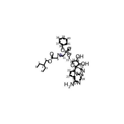 CCC(CC)COC(=O)C/N=C/[P@](=O)(OC[C@H]1O[C@@](C#N)(c2ccc3c(N)ncnn23)[C@H](O)[C@@H]1O)Oc1ccccc1